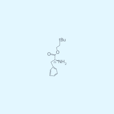 CC(C)(C)CCOC(=O)[C@@H](N)Cc1ccccc1